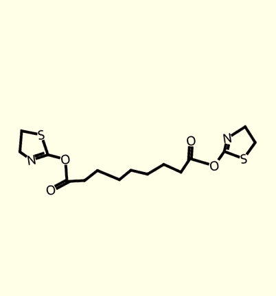 O=C(CCCCCCCC(=O)OC1=NCCS1)OC1=NCCS1